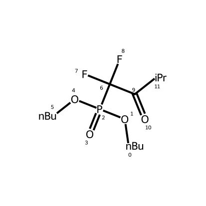 CCCCOP(=O)(OCCCC)C(F)(F)C(=O)C(C)C